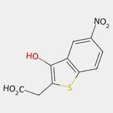 O=C(O)Cc1sc2ccc([N+](=O)[O-])cc2c1O